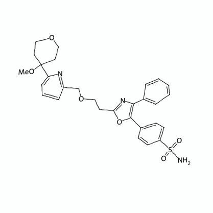 COC1(c2cccc(COCCc3nc(-c4ccccc4)c(-c4ccc(S(N)(=O)=O)cc4)o3)n2)CCOCC1